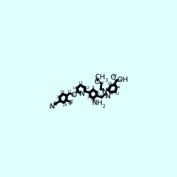 COCCn1c(Cc2ccc(-c3cccc(OCc4ccc(C#N)cc4F)n3)cc2N)nc2ccc(C(=O)O)cc21